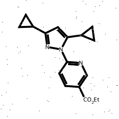 CCOC(=O)c1ccc(-n2nc(C3CC3)cc2C2CC2)nc1